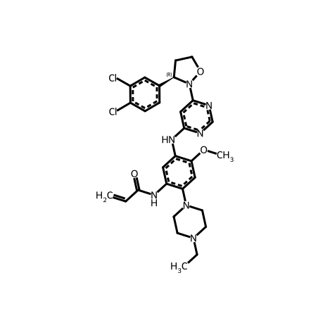 C=CC(=O)Nc1cc(Nc2cc(N3OCC[C@@H]3c3ccc(Cl)c(Cl)c3)ncn2)c(OC)cc1N1CCN(CC)CC1